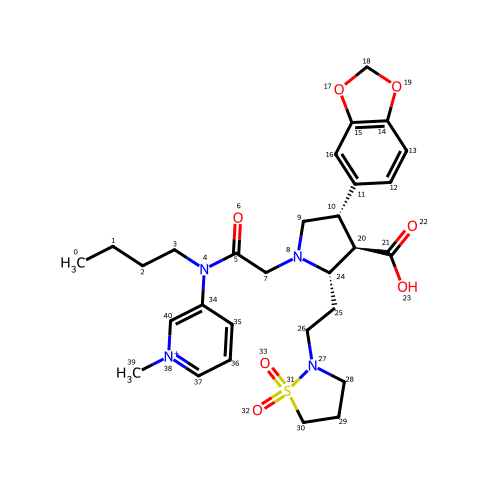 CCCCN(C(=O)CN1C[C@H](c2ccc3c(c2)OCO3)[C@@H](C(=O)O)[C@@H]1CCN1CCCS1(=O)=O)c1ccc[n+](C)c1